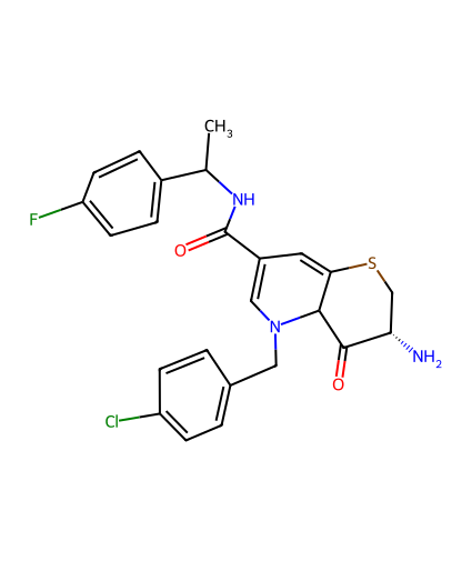 CC(NC(=O)C1=CN(Cc2ccc(Cl)cc2)C2C(=O)[C@@H](N)CSC2=C1)c1ccc(F)cc1